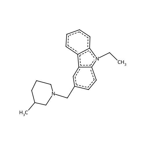 CCn1c2ccccc2c2cc(CN3CCCC(C)C3)ccc21